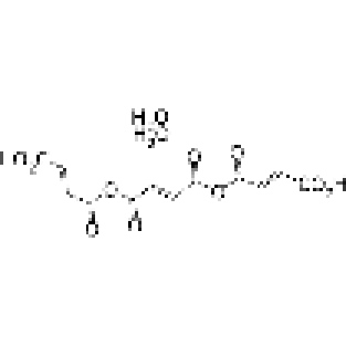 O.O.O=C(O)/C=C/C(=O)OC(=O)/C=C/C(=O)OC(=O)/C=C/C(=O)O